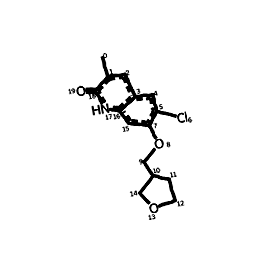 Cc1cc2cc(Cl)c(OCC3CCOC3)cc2[nH]c1=O